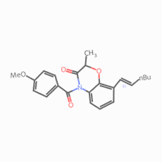 CCCC/C=C/c1cccc2c1OC(C)C(=O)N2C(=O)c1ccc(OC)cc1